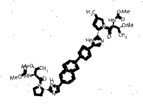 COC(=O)N[C@H](C(=O)N1CC(C)=C[C@H]1c1ncc(-c2ccc(-c3ccc4cc(-c5cnc([C@@H]6CCCN6C(=O)[C@@H](NC(=O)OC)[C@@H](C)OC)[nH]5)ccc4c3)cc2)[nH]1)[C@@H](C)OC